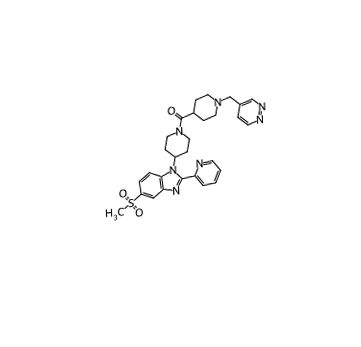 CS(=O)(=O)c1ccc2c(c1)nc(-c1ccccn1)n2C1CCN(C(=O)C2CCN(Cc3ccnnc3)CC2)CC1